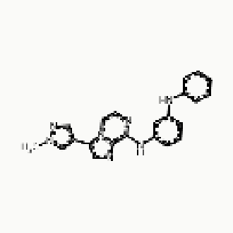 Cn1cc(-c2cnc3c(Nc4cccc(Nc5ccccc5)c4)nccn23)cn1